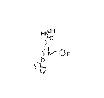 O=C(CCCCC=C(CNCCc1ccc(F)cc1)COc1cccc2ccccc12)NO